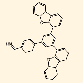 N=CC1=CC=C(c2cc(C3=CCCC4=C3OC3C=CCCC43)cc(C3C=CC=C4C5C=CC=CC5OC43)c2)CC1